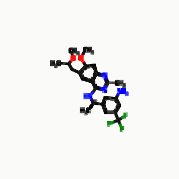 COc1cc2nc(C)nc(N[C@H](C)c3cc(N)cc(C(F)(F)F)c3)c2cc1CC(C)OC